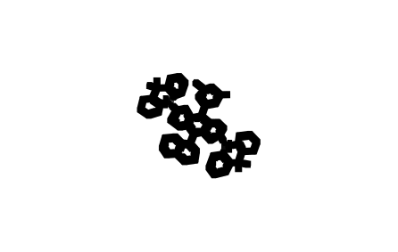 Cc1cc(C)cc(-c2c3cc(N4C5=C(CCC=C5)C(C)(C)c5ccccc54)ccc3c(-c3cccc4ccccc34)c3cc(N4C5=C(CCC=C5)C(C)(C)c5ccccc54)ccc23)c1